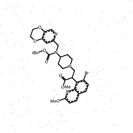 COC(=O)C(CN1CCC(N(Cc2cc3c(cn2)OCCO3)C(=O)OC(C)(C)C)CC1)c1c(Br)ccc2ccc(OC)nc12